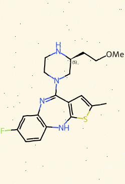 COCC[C@H]1CN(C2=Nc3cc(F)ccc3Nc3sc(C)cc32)CCN1